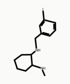 CNC1CCCCC1NCc1cccc(I)c1